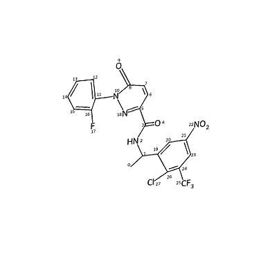 CC(NC(=O)c1ccc(=O)n(-c2ccccc2F)n1)c1cc([N+](=O)[O-])cc(C(F)(F)F)c1Cl